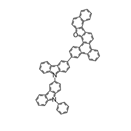 c1ccc(-n2c3ccccc3c3cc(-n4c5ccccc5c5cc(-c6ccc7c(c6)c6ccccc6c6ccc8c(oc9ccc%10ccccc%10c98)c67)ccc54)ccc32)cc1